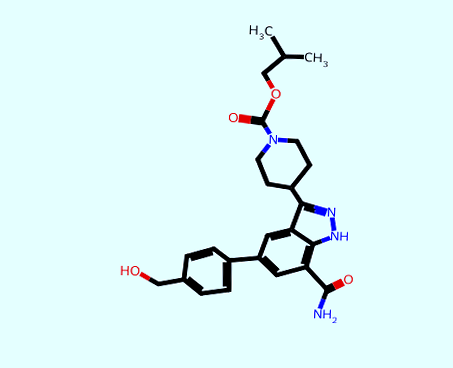 CC(C)COC(=O)N1CCC(c2n[nH]c3c(C(N)=O)cc(-c4ccc(CO)cc4)cc23)CC1